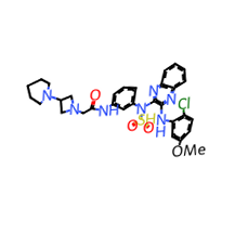 COc1ccc(Cl)c(Nc2nc3ccccc3nc2N(c2cccc(NC(=O)CN3CC(N4CCCCC4)C3)c2)[SH](=O)=O)c1